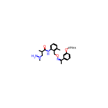 CCCCCCOc1cccc(/C(C)=N\OCc2c(C)cccc2NC(=O)C(C)CN(C)N)c1